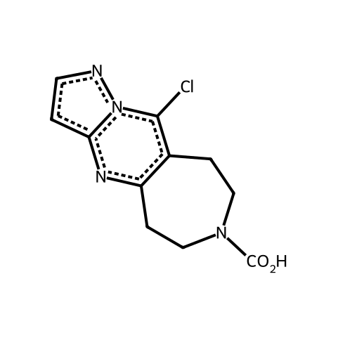 O=C(O)N1CCc2nc3ccnn3c(Cl)c2CC1